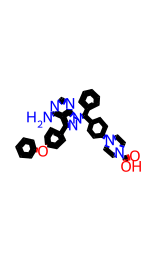 Nc1ncnc2c1c(-c1ccc(Oc3ccccc3)cc1)nn2C(c1ccccc1)C1CCC(N2CCN(C(=O)O)CC2)CC1